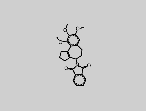 COc1cc2c(c(OC)c1OC)C1=C(CCC1)C(N1C(=O)c3ccccc3C1=O)CC2